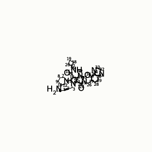 CC#CCn1c(N2CCC[C@@H](N)C2)c(C(=O)NC2CCC2)c2c1c(=O)n(Cc1ccc3nccnc3c1)c(=O)n2C